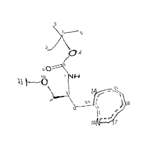 CC(C)(C)OC(=O)N[C@H](COI)Cc1ccccn1